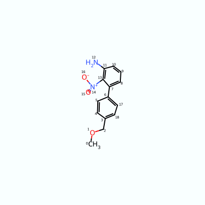 COCc1ccc(-c2cccc(N)c2[N+](=O)[O-])cc1